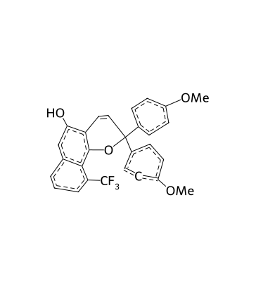 COc1ccc(C2(c3ccc(OC)cc3)C=Cc3c(O)cc4cccc(C(F)(F)F)c4c3O2)cc1